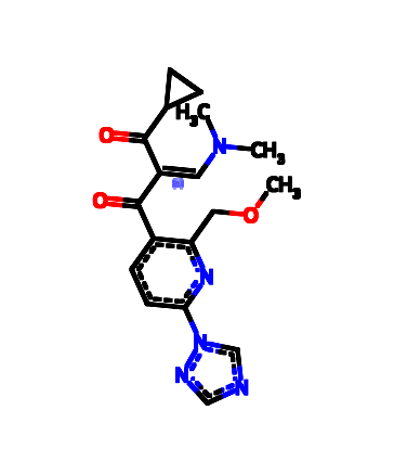 COCc1nc(-n2cncn2)ccc1C(=O)/C(=C/N(C)C)C(=O)C1CC1